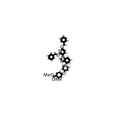 COC(OC)C1CCC(OC2CCN(c3cccc4c3ncn4-c3ccc(OCc4ccccc4)nc3OCc3ccccc3)CC2)CC1